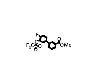 COC(=O)c1cccc(-c2ccc(F)c(OS(=O)(=O)C(F)(F)F)c2)c1